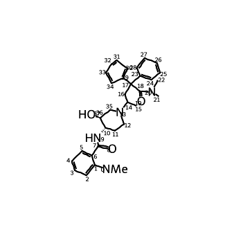 CNc1ccccc1C(=O)N[C@H]1CCN(C(C)CC(C(=O)N(C)C)(c2ccccc2)c2ccccc2)C[C@@H]1O